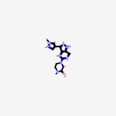 CN1CCN(c2ncc3[nH]nc(-c4cnn(C)c4)c3n2)CC1=O